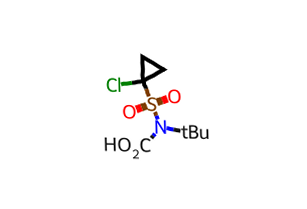 CC(C)(C)N(C(=O)O)S(=O)(=O)C1(Cl)CC1